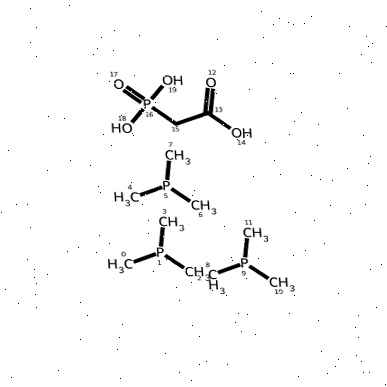 CP(C)C.CP(C)C.CP(C)C.O=C(O)CP(=O)(O)O